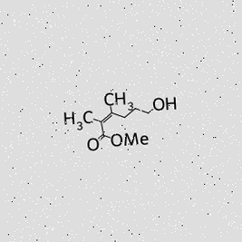 COC(=O)C(C)=C(C)CCCO